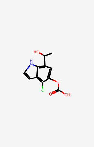 CC(O)c1cc(OC(=O)O)c(Cl)c2cc[nH]c12